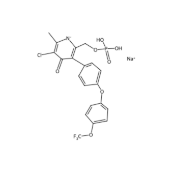 Cc1[n-]c(COP(=O)(O)O)c(-c2ccc(Oc3ccc(OC(F)(F)F)cc3)cc2)c(=O)c1Cl.[Na+]